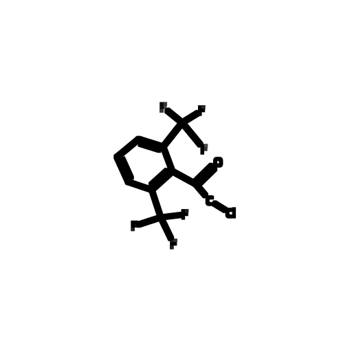 O=C(CCl)c1c(C(F)(F)F)cccc1C(F)(F)F